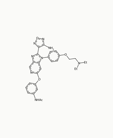 CCN(CC)CCOc1ccc(-n2c(-c3nonc3N)nc3cnc(Oc4cccc(NC(C)=O)c4)cc32)cc1